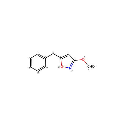 O=[C]Oc1cc(Cc2ccccc2)on1